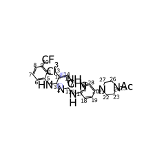 C=C(/N=C(Nc1cccc(C(F)(F)F)c1)\C(Cl)=C/N)Nc1ccc(N2CCN(C(C)=O)CC2)cn1